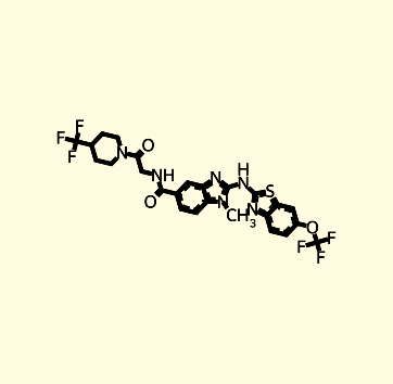 Cn1c(Nc2nc3ccc(OC(F)(F)F)cc3s2)nc2cc(C(=O)NCC(=O)N3CCC(C(F)(F)F)CC3)ccc21